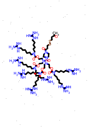 CC(=O)CCSSCCC(=O)N1CCN(P(=O)(N(CCOC(=O)N(CCCCCCNC(=N)N)CCCCCCNC(=N)N)CCOC(=O)N(CCCCCCNC(=N)N)CCCCCCNC(=N)N)N(CCOC(=O)N(CCCCCCNC(=N)N)CCCCCCNC(=N)N)CCOC(=O)N(CCCCCCNC(=N)N)CCCCCCNC(=N)N)CC1